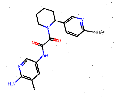 CC(=O)Nc1ccc([C@@H]2CCCCN2C(=O)C(=O)Nc2cnc(N)c(C)c2)cn1